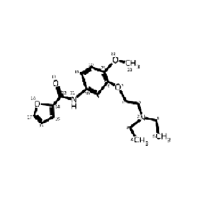 CCN(CC)CCOc1cc(NC(=O)c2ccco2)ccc1OC